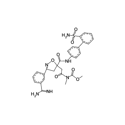 COC(=O)N(C)C(=O)CC1(C(=O)Nc2ccc(-c3ccccc3S(N)(=O)=O)cc2)CC(c2cccc(C(=N)N)c2)=NO1